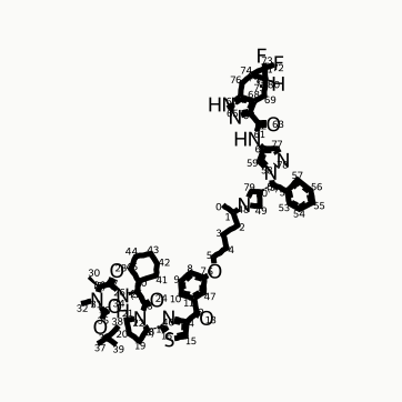 CC(CCCCOc1cccc(C(=O)c2csc([C@@H]3CCCN3C(=O)[C@@H](NC(=O)[C@H](C)N(C)C(=O)OC(C)(C)C)C3CCCCC3)n2)c1)N1CC([C@@H](c2ccccc2)n2cc(NC(=O)c3n[nH]c4c3C[C@@H]3C(F)(F)[C@]3(C)C4)cn2)C1